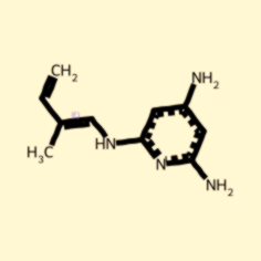 C=C/C(C)=C/Nc1cc(N)cc(N)n1